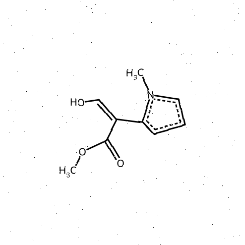 COC(=O)C(=CO)c1cccn1C